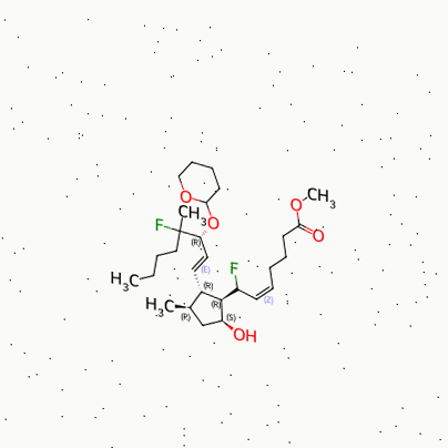 CCCCC(C)(F)[C@@H](/C=C/[C@@H]1[C@@H](C(F)/C=C\CCCC(=O)OC)[C@@H](O)C[C@H]1C)OC1CCCCO1